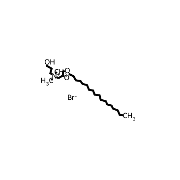 CCCCCCCCCCCCCCCCCC1OCC(C[N+](C)(C)CCCO)O1.[Br-]